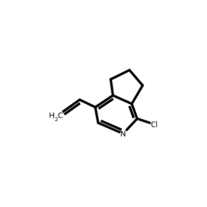 C=Cc1cnc(Cl)c2c1CCC2